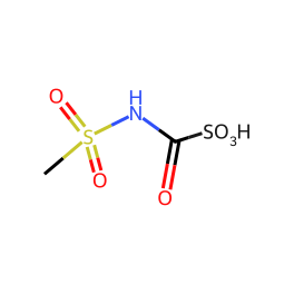 CS(=O)(=O)NC(=O)S(=O)(=O)O